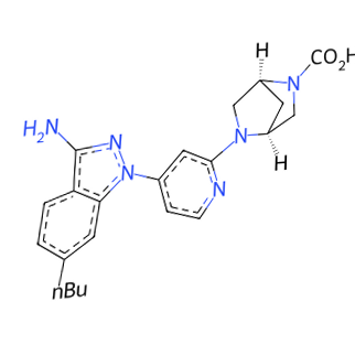 CCCCc1ccc2c(N)nn(-c3ccnc(N4C[C@@H]5C[C@H]4CN5C(=O)O)c3)c2c1